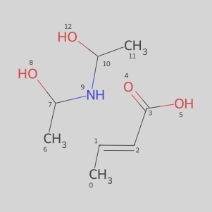 C/C=C/C(=O)O.CC(O)NC(C)O